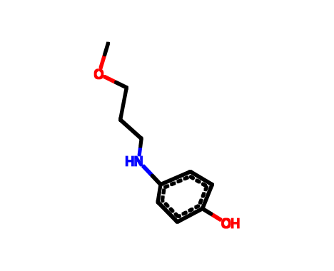 COCCCNc1ccc(O)cc1